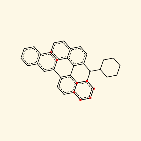 c1ccc2cc(-c3ccc4ccccc4c3-c3c(P(C4CCCCC4)C4CCCCC4)ccc4ccccc34)ccc2c1